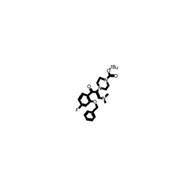 CN(C)/C=C(/C(=O)c1ccc(F)cc1OCc1ccccc1)N1CCN(C(=O)OC(C)(C)C)CC1